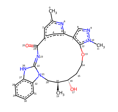 Cc1cc2cc(n1)-c1cnn(C)c1OCC[C@H](O)[C@@H](C)CN1/C(=N/C2=O)Nc2ccccc21